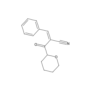 N#CC(=Cc1ccccc1)C(=O)C1CCCCO1